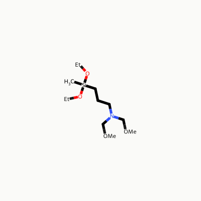 CCO[Si](C)(CCCN(COC)COC)OCC